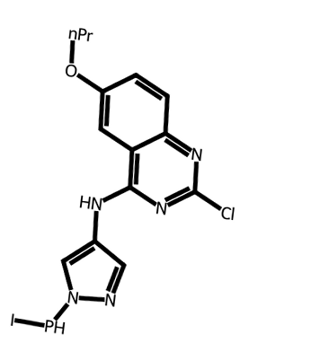 CCCOc1ccc2nc(Cl)nc(Nc3cnn(PI)c3)c2c1